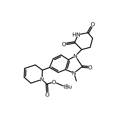 Cn1c(=O)n(C2CCC(=O)NC2=O)c2ccc(C3CC=CCN3C(=O)OC(C)(C)C)cc21